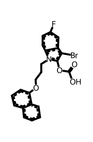 O=C(O)Oc1c(Br)c2cc(F)ccc2n1CCCOc1cccc2ccccc12